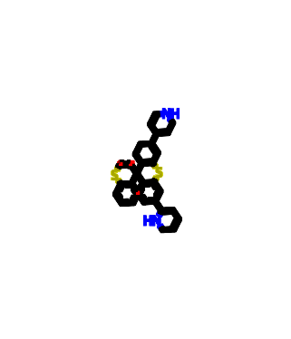 C1=CCNC(c2ccc3c(c2)SC2=C(CCC(C4=CCNC=C4)=C2)C32c3ccccc3Sc3ccccc32)=C1